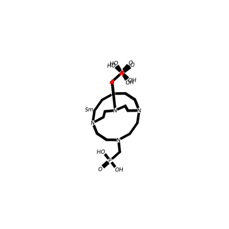 O=P(O)(O)CN1CCN2CCN(CP(=O)(O)O)CCN(CC1)CCN(CP(=O)(O)O)CC2.[Sm]